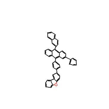 c1ccc(-c2ccc3c(-c4ccc5ccccc5c4)c4ccccc4c(-c4ccc(-c5ccc6oc7ccccc7c6c5)cc4)c3c2)cc1